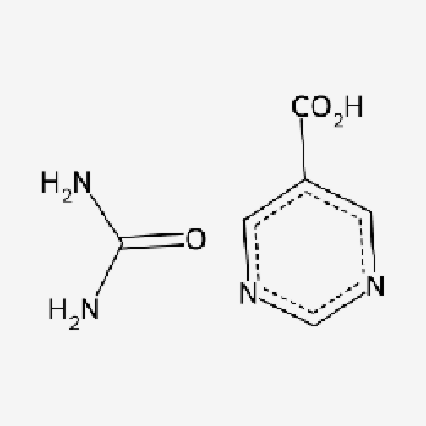 NC(N)=O.O=C(O)c1cncnc1